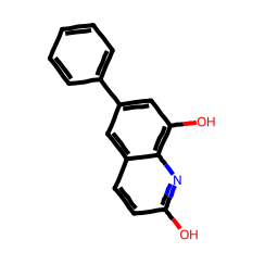 Oc1ccc2cc(-c3ccccc3)cc(O)c2n1